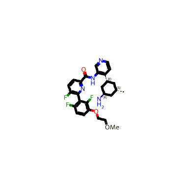 COCCOc1ccc(F)c(-c2nc(C(=O)Nc3cnccc3[C@@H]3C[C@H](C)C[C@@H](N)C3)ccc2F)c1F